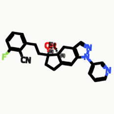 CC[C@]12Cc3cnn(-c4cccnc4)c3C=C1CC[C@@]2(O)CCc1cccc(F)c1C#N